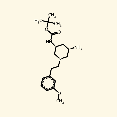 COc1cccc(CCN2C[C@H](N)C[C@H](NC(=O)OC(C)(C)C)C2)c1